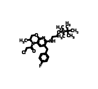 CC1COc2nc(NCCO[Si](C)(C)C(C)(C)C)c(Cc3ccc(F)cc3)cc2N1C(=O)CCl